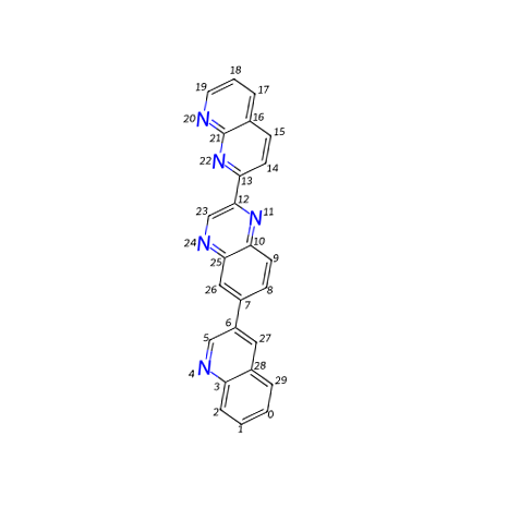 c1ccc2ncc(-c3ccc4nc(-c5ccc6cccnc6n5)cnc4c3)cc2c1